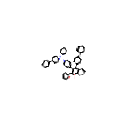 c1ccc(-c2ccc(-c3c(-c4ccc(N(c5ccccc5)c5ccc(-c6ccccc6)cc5)cc4)c4c5ccccc5oc4c4ccccc34)cc2)cc1